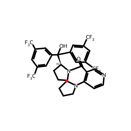 O=C(c1cnccc1N1CCCC1)N1CCC[C@H]1C(O)(c1cc(C(F)(F)F)cc(C(F)(F)F)c1)c1cc(C(F)(F)F)cc(C(F)(F)F)c1